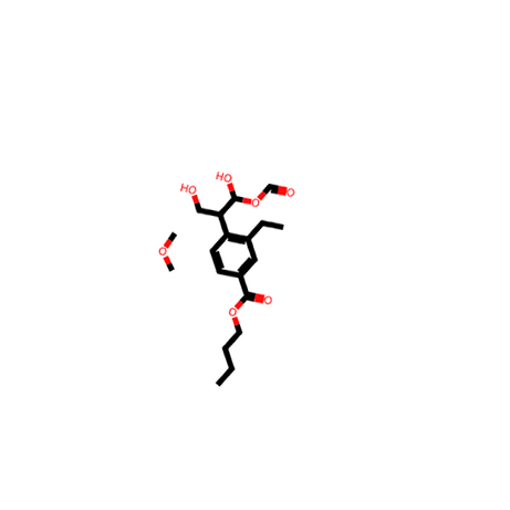 CCCCOC(=O)c1ccc(C(CO)C(O)OC=O)c(CC)c1.COC